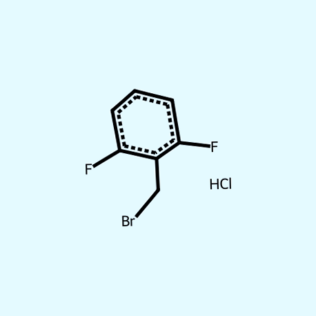 Cl.Fc1cccc(F)c1CBr